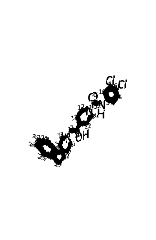 O=C(Nc1ccc(Cl)c(Cl)c1)N1CCC(C(O)CN2CCC3(CCc4ccccc43)CC2)CC1